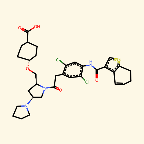 O=C(Nc1cc(Cl)c(CC(=O)N2C[C@@H](N3CCCC3)C[C@H]2CO[C@H]2CC[C@H](C(=O)O)CC2)cc1Cl)c1csc2c1C=CCC2